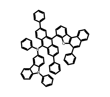 c1ccc(-c2ccc3c(N(c4ccccc4)c4ccc5c(c4)c4ccccc4n5-c4ccccc4)c4cc(-c5ccccc5)ccc4c(-c4cccc5c4oc4c(-c6ccccc6)cc6ccccc6c45)c3c2)cc1